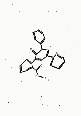 CNC(=O)c1ccccc1-c1cc(-c2ccccn2)cn(-c2ccccc2)c1=O